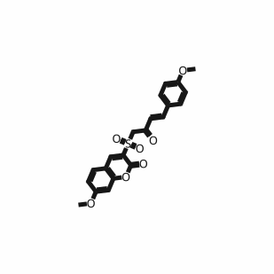 COc1ccc(C=CC(=O)CS(=O)(=O)c2cc3ccc(OC)cc3oc2=O)cc1